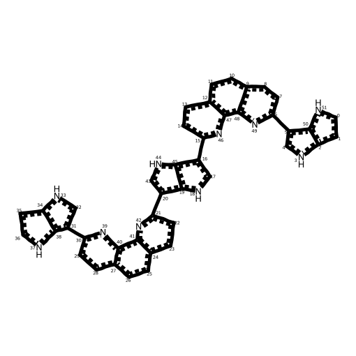 c1cc2[nH]cc(-c3ccc4ccc5ccc(-c6c[nH]c7c(-c8ccc9ccc%10ccc(-c%11c[nH]c%12cc[nH]c%11%12)nc%10c9n8)c[nH]c67)nc5c4n3)c2[nH]1